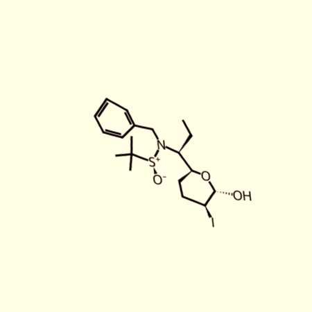 CC[C@@H]([C@@H]1CC[C@H](I)[C@@H](O)O1)N(Cc1ccccc1)[S@@+]([O-])C(C)(C)C